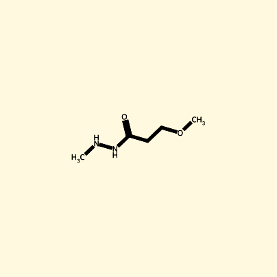 CNNC(=O)CCOC